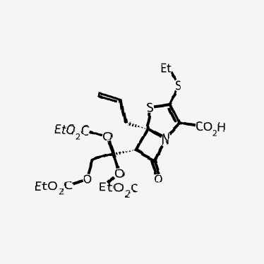 C=CC[C@]12SC(SCC)=C(C(=O)O)N1C(=O)[C@@H]2C(COC(=O)OCC)(OC(=O)OCC)OC(=O)OCC